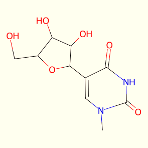 Cn1cc(C2OC(CO)C(O)C2O)c(=O)[nH]c1=O